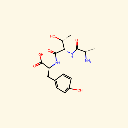 C[C@H](N)C(=O)N[C@H](C(=O)N[C@@H](Cc1ccc(O)cc1)C(=O)O)[C@@H](C)O